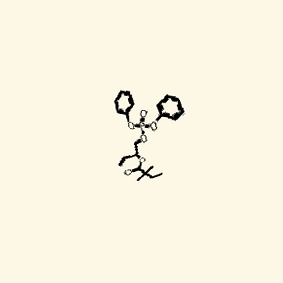 CCC(COP(=O)(Oc1ccccc1)Oc1ccccc1)OC(=O)C(C)(C)CC